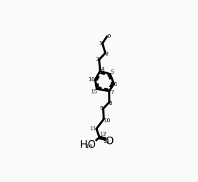 CCCCc1ccc(CCCCC(=O)O)cc1